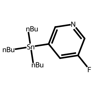 CCC[CH2][Sn]([CH2]CCC)([CH2]CCC)[c]1cncc(F)c1